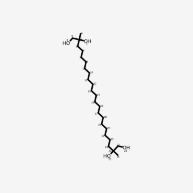 CC(O)(CO)CCCCCCCCCCCCCCCCCCCC(C)(O)CO